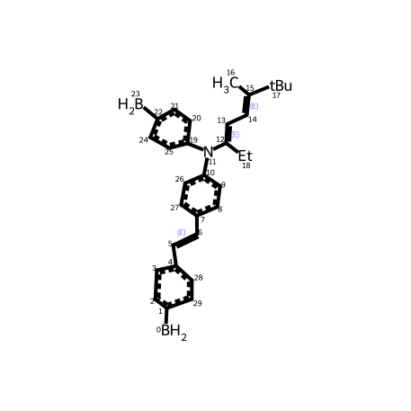 Bc1ccc(/C=C/c2ccc(N(/C(=C/C=C(\C)C(C)(C)C)CC)c3ccc(B)cc3)cc2)cc1